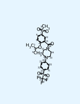 CC(C)Oc1ccc(S(C)(=O)=O)cc1C(=O)N1CCN(c2ccc(S(=O)(=O)C(F)(F)F)cc2)CC1